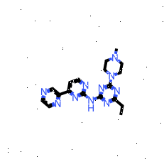 CCc1nc(Nc2nccc(-c3cnccn3)n2)nc(N2CCN(C)CC2)n1